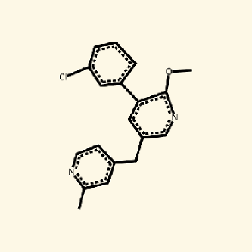 COc1ncc(Cc2ccnc(C)c2)cc1-c1cccc(Cl)c1